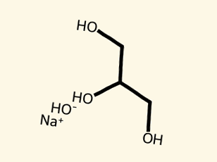 OCC(O)CO.[Na+].[OH-]